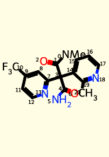 CNC(=O)C(C(N)=O)(c1cc(C(F)(F)F)ccn1)c1cccnc1C